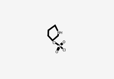 C1CCNCC1.O=S(=O)(Cl)Cl